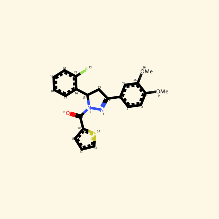 COc1ccc(C2=NN(C(=O)c3cccs3)C(c3ccccc3F)C2)cc1OC